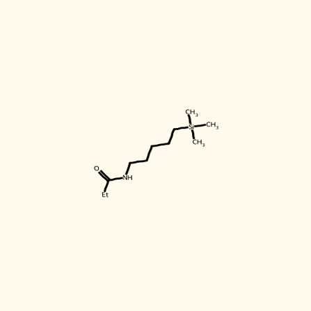 CCC(=O)NCCCCC[Si](C)(C)C